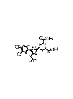 CC(C)Cc1sc(N(CCCO)CCC(=O)O)nc1-c1ccc(Cl)c(Cl)c1